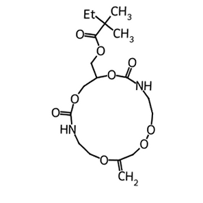 C=C1COOCCNC(=O)OC(COC(=O)C(C)(C)CC)COC(=O)NCCO1